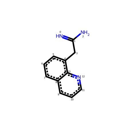 N=C(N)Cc1cccc2cccnc12